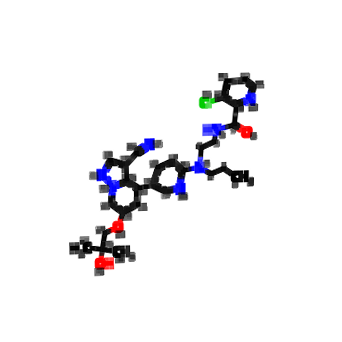 CCCN(CCNC(=O)c1ncccc1Cl)c1ccc(-c2cc(OCC(C)(C)O)cn3ncc(C#N)c23)cn1